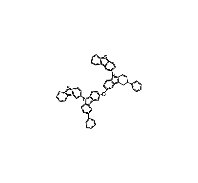 C1=CC(c2ccccc2)Cc2c1n(-c1ccc3sc4ccccc4c3c1)c1ccc(Oc3ccc4c(c3)c3cc(-c5ccccc5)ccc3n4-c3ccc4sc5ccccc5c4c3)cc21